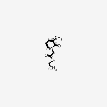 CCOC(=O)Cn1cccc(C)c1=O